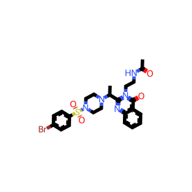 CC(=O)NCCn1c(C(C)N2CCN(S(=O)(=O)c3ccc(Br)cc3)CC2)nc2ccccc2c1=O